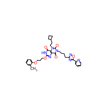 Cc1ccccc1OCCCOc1nc2c(=O)n(CCCCc3noc(-c4ccccn4)n3)c(=O)n(CCC3CCC3)c2c(=O)[nH]1